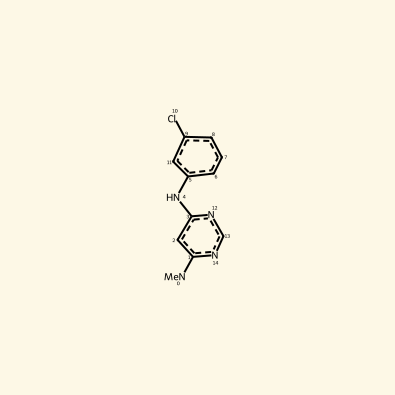 CNc1cc(Nc2cccc(Cl)c2)ncn1